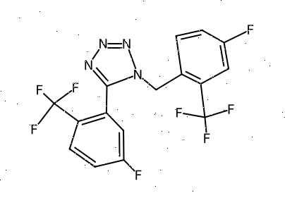 Fc1ccc(C(F)(F)F)c(-c2nnnn2Cc2ccc(F)cc2C(F)(F)F)c1